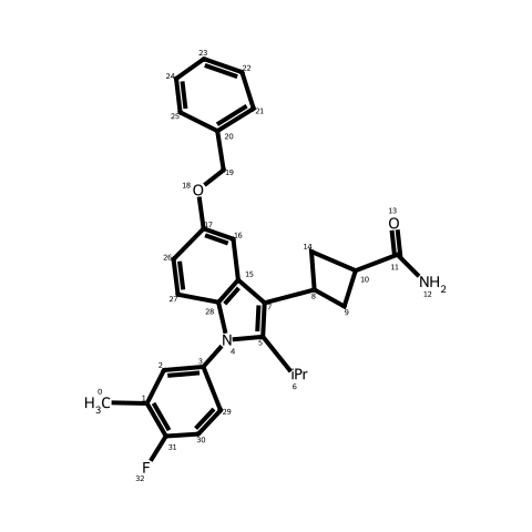 Cc1cc(-n2c(C(C)C)c(C3CC(C(N)=O)C3)c3cc(OCc4ccccc4)ccc32)ccc1F